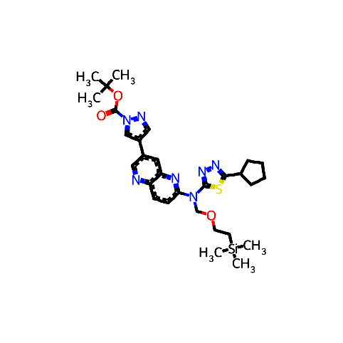 CC(C)(C)OC(=O)n1cc(-c2cnc3ccc(N(COCC[Si](C)(C)C)c4nnc(C5CCCC5)s4)nc3c2)cn1